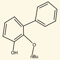 CCCCOc1c(O)cccc1-c1ccccc1